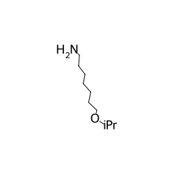 CC(C)OCCCCCCCN